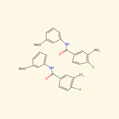 COc1cccc(NC(=O)c2ccc(F)c(C(F)(F)F)c2)c1.COc1cccc(NC(=O)c2ccc(F)c([N+](=O)[O-])c2)c1